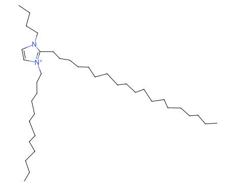 CCCCCCCCCCCCCCCCCCCc1n(CCCC)cc[n+]1CCCCCCCCCCCC